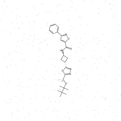 C[C@@H](O[Si](C)(C)C(C)(C)C)c1nnc([C@H]2C[C@H](NC(=O)c3cc(-c4ccccc4)no3)C2)o1